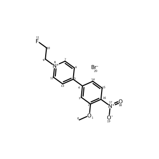 COc1cc(-c2cc[n+](CCF)cc2)ccc1[N+](=O)[O-].[Br-]